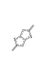 C=c1cc2sc(=C)cc2s1